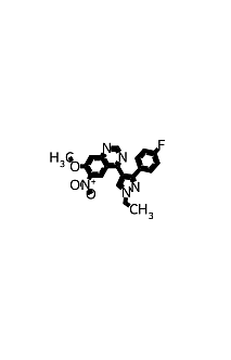 CCn1cc(-c2ncnc3cc(OC)c([N+](=O)[O-])cc23)c(-c2ccc(F)cc2)n1